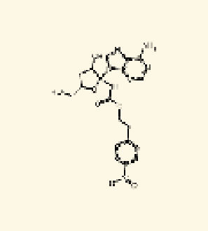 Nc1ncnc2c1ncn2[C@]1(NC(=O)OCCc2ccc([N+](=O)[O-])cc2)O[C@H](CO)C[C@H]1O